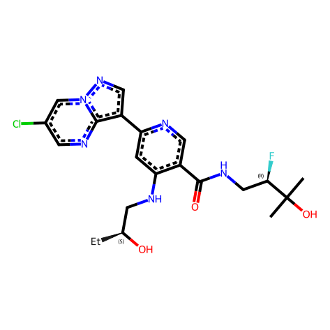 CC[C@H](O)CNc1cc(-c2cnn3cc(Cl)cnc23)ncc1C(=O)NC[C@@H](F)C(C)(C)O